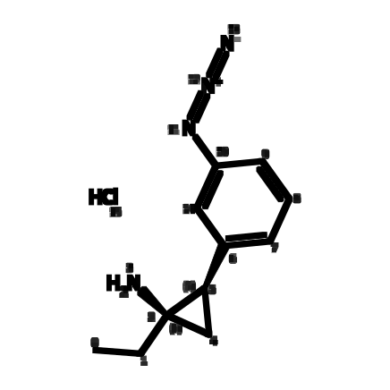 CC[C@@]1(N)C[C@@H]1c1cccc(N=[N+]=[N-])c1.Cl